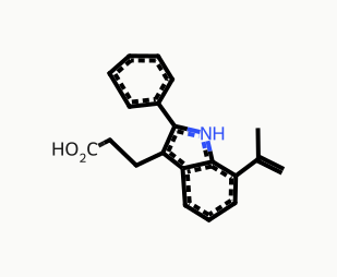 C=C(C)c1cccc2c(CCC(=O)O)c(-c3ccccc3)[nH]c12